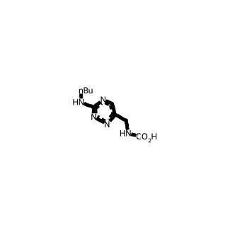 CCCCNc1ncc(CNC(=O)O)nn1